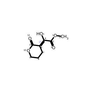 COC(=O)/C(O)=C1\CCCOC1=O